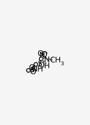 CCCNCc1cc([S+]([O-])c2cccc(NS(=O)(=O)c3ccccc3)c2)ccc1[N+](=O)[O-]